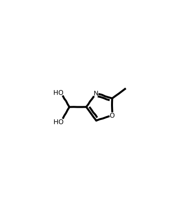 Cc1nc(C(O)O)co1